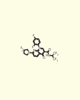 O=C(NC(C(F)(F)F)C(F)(F)F)c1cn(-c2ccc(F)cc2F)c2nc(N3CC[C@H](F)C3)ccc2c1=O